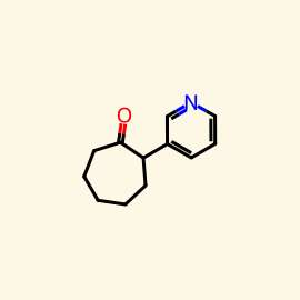 O=C1CCCCCC1c1cccnc1